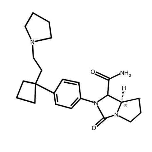 NC(=O)C1[C@H]2[CH]CCN2C(=O)N1c1ccc(C2(CCN3CCCC3)CCC2)cc1